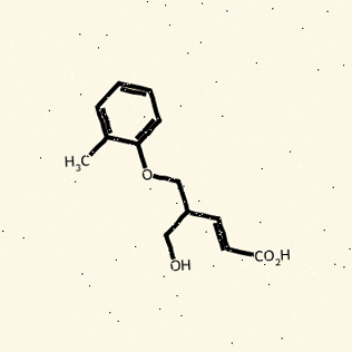 Cc1ccccc1OCC(C=CC(=O)O)CO